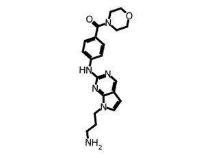 NCCCn1ccc2cnc(Nc3ccc(C(=O)N4CCOCC4)cc3)nc21